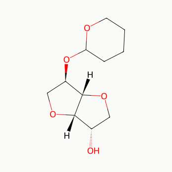 O[C@H]1CO[C@@H]2[C@H]1OC[C@H]2OC1CCCCO1